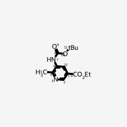 CCOC(=O)c1cnc(C)c(NC(=O)OC(C)(C)C)c1